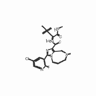 CNC(=O)C(NC(=O)c1nc(-c2cc(Cl)cnc2F)n2c1CN(C)CCC2)C(C)(C)C